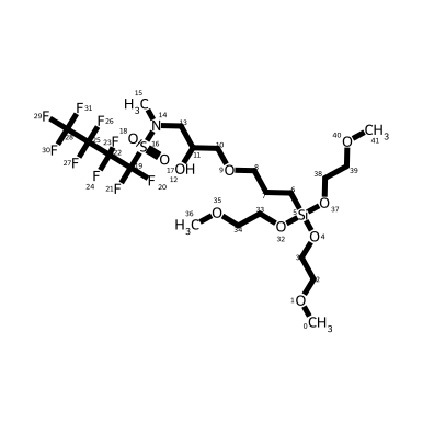 COCCO[Si](CCCOCC(O)CN(C)S(=O)(=O)C(F)(F)C(F)(F)C(F)(F)C(F)(F)F)(OCCOC)OCCOC